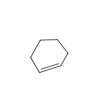 [C]1=CCCCC1